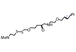 CNCCSSCOCCCC(=O)CNCCOC/C=C/C(C)C